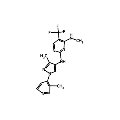 CNc1nc(Nc2cn(-c3ccncc3C)nc2C)ncc1C(F)(F)F